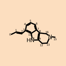 C/C=C/c1cccc2c3c([nH]c12)CCN(C)C3